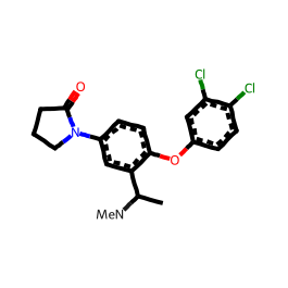 CNC(C)c1cc(N2CCCC2=O)ccc1Oc1ccc(Cl)c(Cl)c1